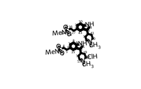 CNS(=O)(=O)CCc1ccc2[nH]cc(C3CCN(C)CC3)c2c1.CNS(=O)(=O)CCc1ccc2[nH]cc(C3CCN(C)CC3)c2c1.Cl